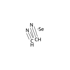 C#N.C#N.[Se]